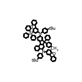 Cc1cc(N(c2ccc(C(C)(C)C)cc2)c2cc3c(c4ccccc24)-c2ccc(N(c4ccc(C(C)(C)C)cc4)c4cc([Si](c5ccccc5)(c5ccccc5)c5ccccc5)c5oc6ccccc6c5c4)cc2C3(c2ccccc2)c2ccccc2)cc2c1oc1ccccc12